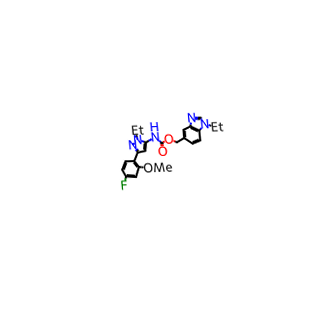 CCn1nc(-c2ccc(F)cc2OC)cc1NC(=O)OCc1ccc2c(c1)ncn2CC